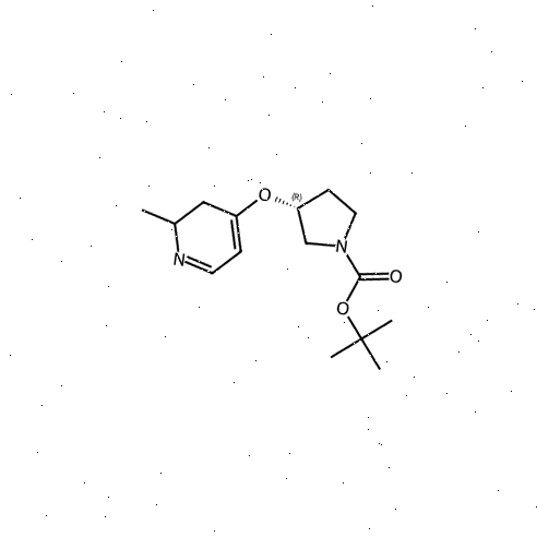 CC1CC(O[C@@H]2CCN(C(=O)OC(C)(C)C)C2)=CC=N1